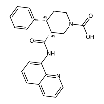 O=C(Nc1cccc2cccnc12)[C@H]1CN(C(=O)O)CC[C@H]1c1ccccc1